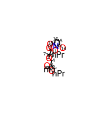 CCCOCC(COC(C)(CCC)C(=O)ON1C(=O)CCC1=O)OCCC